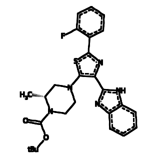 C[C@@H]1CN(c2sc(-c3ccccc3F)nc2-c2nc3ccccc3[nH]2)CCN1C(=O)OC(C)(C)C